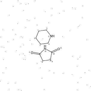 C1CCNCC1.O=C1CSC(=O)N1